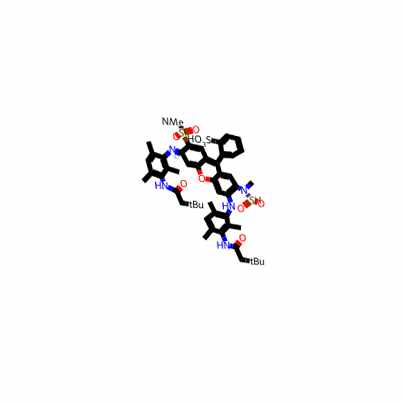 CNS(=O)(=O)c1cc2c(-c3ccccc3S(=O)(=O)O)c3cc(N(C)[SH](=O)=O)c(Nc4c(C)cc(C)c(NC(=O)CC(C)(C)C)c4C)cc3oc-2c/c1=N\c1c(C)cc(C)c(NC(=O)CC(C)(C)C)c1C